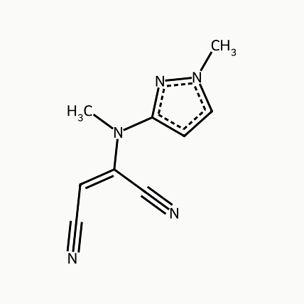 CN(/C(C#N)=C/C#N)c1ccn(C)n1